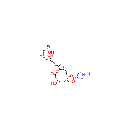 CCC(O)C(C)C1OC1CC(C)(O)/C=C/C=C(\C)C1OC(=O)CC(O)CCC(C)C(OC(=O)N2CCN(C3CC3)CC2)/C=C/C1C